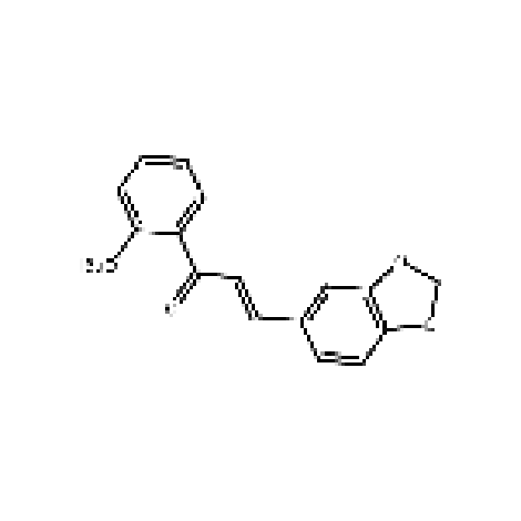 CC(C)COc1ccccc1C(=O)C=Cc1ccc2c(c1)OCO2